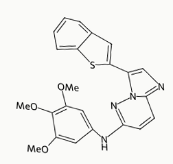 COc1cc(Nc2ccc3ncc(-c4cc5ccccc5s4)n3n2)cc(OC)c1OC